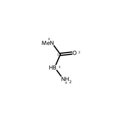 CNC(=O)BN